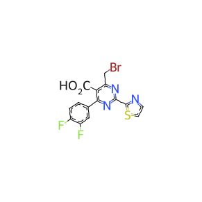 O=C(O)c1c(CBr)nc(-c2nccs2)nc1-c1ccc(F)c(F)c1